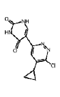 O=c1[nH]cc(-c2cc(C3CC3)c(Cl)nn2)c(=O)[nH]1